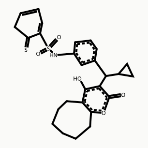 O=c1oc2c(c(O)c1C(c1cccc(NS(=O)(=O)C3=CC=CCC3=S)c1)C1CC1)CCCCCC2